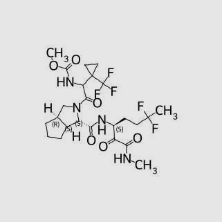 CNC(=O)C(=O)[C@H](CCC(C)(F)F)NC(=O)[C@@H]1[C@H]2CCC[C@H]2CN1C(=O)C(NC(=O)OC)C1(C(F)(F)F)CC1